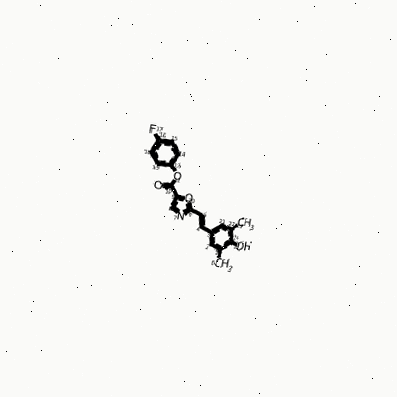 Cc1cc(/C=C/c2ncc(C(=O)Oc3ccc(F)cc3)o2)cc(C)c1O